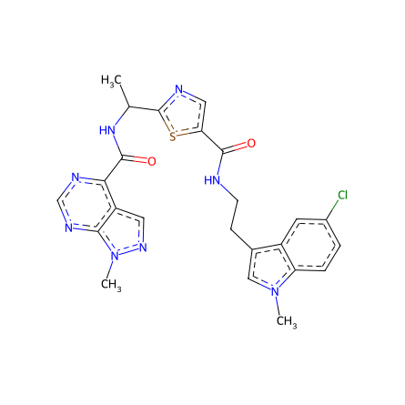 CC(NC(=O)c1ncnc2c1cnn2C)c1ncc(C(=O)NCCc2cn(C)c3ccc(Cl)cc23)s1